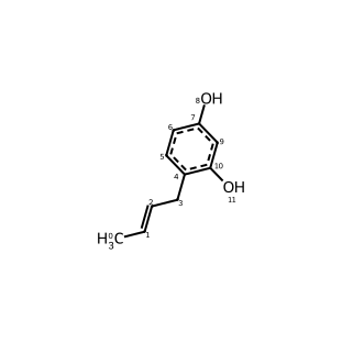 C/C=C/Cc1ccc(O)cc1O